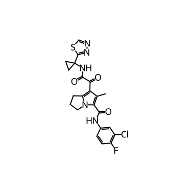 Cc1c(C(=O)C(=O)NC2(c3nncs3)CC2)c2n(c1C(=O)Nc1ccc(F)c(Cl)c1)CCC2